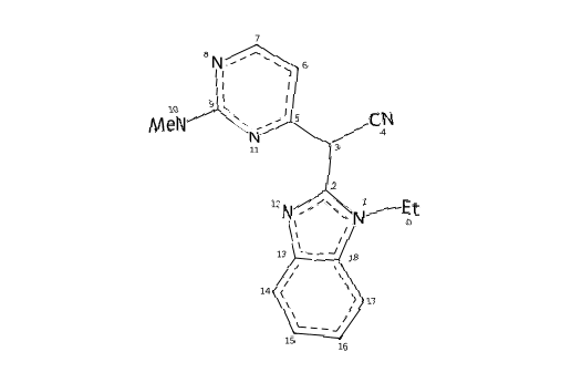 CCn1c(C(C#N)c2ccnc(NC)n2)nc2ccccc21